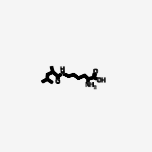 CC(C)CC(C)C(=O)NCCCCC(N)C(=O)O